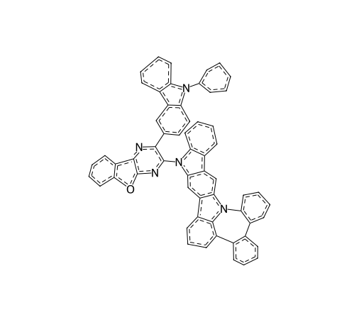 c1ccc(-n2c3ccccc3c3cc(-c4nc5c(nc4-n4c6ccccc6c6cc7c(cc64)c4cccc6c4n7-c4ccccc4-c4ccccc4-6)oc4ccccc45)ccc32)cc1